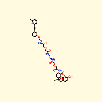 Cc1cccc(C#Cc2cccc(OCCNC(=O)COCC(=O)NCCNC(=O)COCC(=O)N[C@H]3CC[C@@]4(O)C5Cc6ccc(O)c7c6[C@@]4(CCN5C)[C@H]3O7)c2)n1